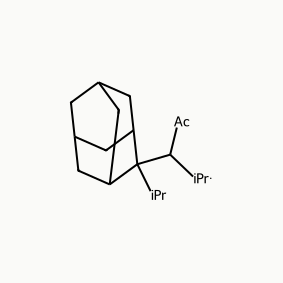 C[C](C)C(C(C)=O)C1(C(C)C)C2CC3CC(C2)CC1C3